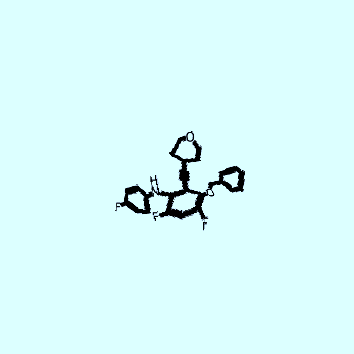 Fc1ccc(Nc2c(F)cc(F)c(OCc3ccccc3)c2C#CC2CCOCC2)cc1